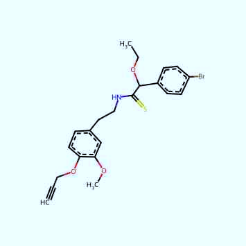 C#CCOc1ccc(CCNC(=S)C(OCC)c2ccc(Br)cc2)cc1OC